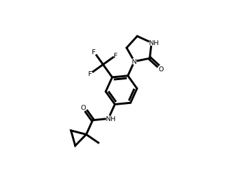 CC1(C(=O)Nc2ccc(N3CCNC3=O)c(C(F)(F)F)c2)CC1